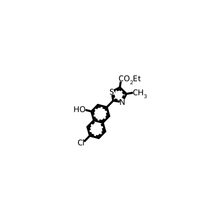 CCOC(=O)c1sc(-c2cc(O)c3cc(Cl)ccc3c2)nc1C